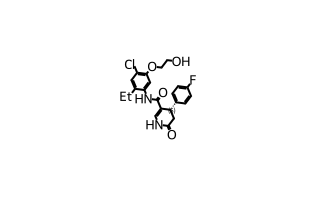 CCc1cc(Cl)c(OCCO)cc1NC(=O)C1=CNC(=O)C[C@H]1c1ccc(F)cc1